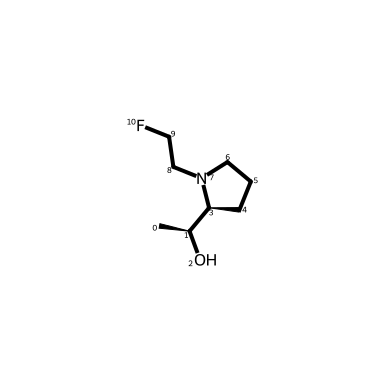 C[C@H](O)[C@@H]1CCCN1CCF